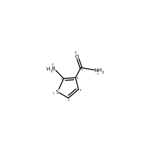 Bc1sccc1C(N)=O